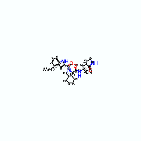 COc1cccc2[nH]c(C(=O)N3CC4CCCCC4C3C(=O)NC(C#N)CC3CCNC3=O)cc12